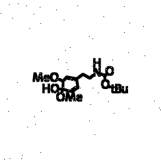 COC1C=C(CCNC(=O)OC(C)(C)C)C=CC1(O)OC